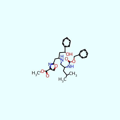 COC(=O)c1coc(CC(CC(O)c2ccccc2)NCC(CC(C)C)NC(=O)OCc2ccccc2)n1